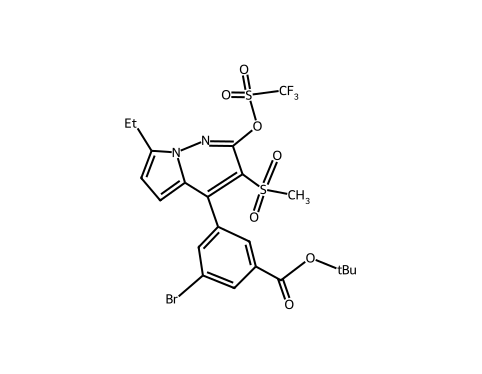 CCc1ccc2c(-c3cc(Br)cc(C(=O)OC(C)(C)C)c3)c(S(C)(=O)=O)c(OS(=O)(=O)C(F)(F)F)nn12